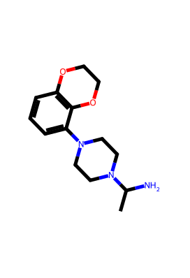 CC(N)N1CCN(c2cccc3c2OCCO3)CC1